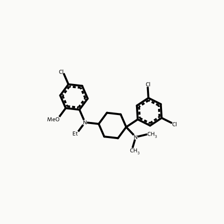 CCN(c1ccc(Cl)cc1OC)C1CCC(c2cc(Cl)cc(Cl)c2)(N(C)C)CC1